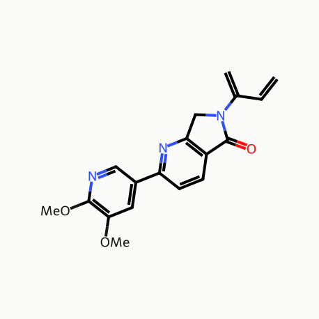 C=CC(=C)N1Cc2nc(-c3cnc(OC)c(OC)c3)ccc2C1=O